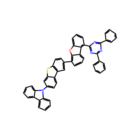 c1ccc(-c2nc(-c3ccccc3)nc(-c3cccc4oc5c(-c6ccc7sc8cc(-n9c%10ccccc%10c%10ccccc%109)ccc8c7c6)cccc5c34)n2)cc1